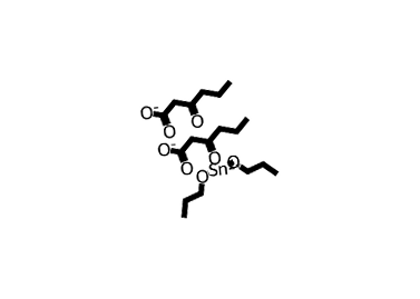 CCCC(=O)CC(=O)[O-].CCCC(=O)CC(=O)[O-].CCC[O][Sn+2][O]CCC